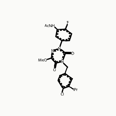 COc1nn(-c2ccc(F)c(NC(C)=O)c2)c(=O)n(Cc2ccc(Cl)c(C(C)C)c2)c1=O